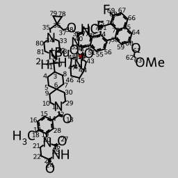 [2H]C([2H])(C1CCC2(CC1)CCN(C(=O)c1ccc(C)c(N3CCC(=O)NC3=O)c1)CC2)N1CCN(CC2(COc3nc(N4CC5CCC(C4)N5C(=O)OC(C)(C)C)c4ccc(-c5cc(OCOC)cc6ccc(F)c(C#C)c56)c(F)c4n3)CC2)CC1